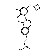 O=C(O)CCc1ccc2c(c1)CCN(c1cc(OC3CCC3)cc(F)c1F)C2F